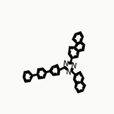 c1ccc(-c2ccc(-c3ccc(-c4nc(-c5ccc6ccccc6c5)nc(-c5ccc6c(ccc7ccccc76)c5)n4)cc3)cc2)cc1